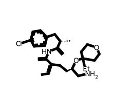 C=C(NC(=C)[C@@H](C)Cc1ccc(Cl)cc1)/C(=C\C)CC[C@H](CN)OC1(CC)CCOCC1